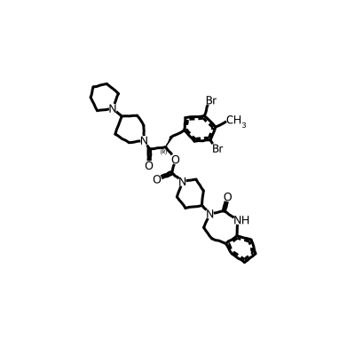 Cc1c(Br)cc(C[C@@H](OC(=O)N2CCC(N3CCc4ccccc4NC3=O)CC2)C(=O)N2CCC(N3CCCCC3)CC2)cc1Br